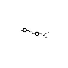 NC[C@H](NC(=O)c1ccc(CCCCc2ccc(N)cc2)cc1)C(=O)NO